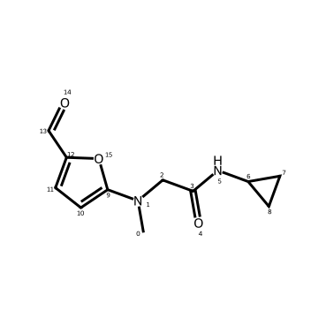 CN(CC(=O)NC1CC1)c1ccc(C=O)o1